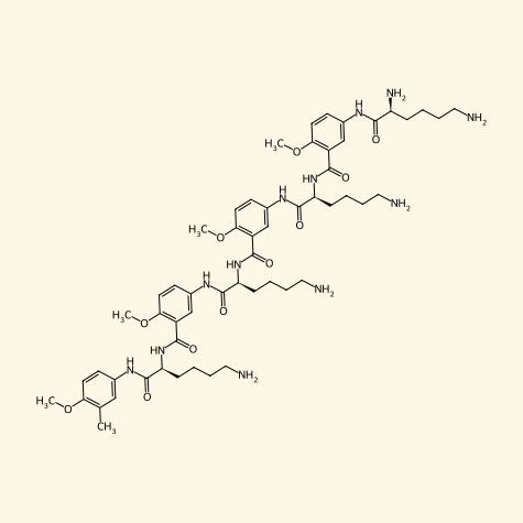 COc1ccc(NC(=O)[C@H](CCCCN)NC(=O)c2cc(NC(=O)[C@H](CCCCN)NC(=O)c3cc(NC(=O)[C@H](CCCCN)NC(=O)c4cc(NC(=O)[C@@H](N)CCCCN)ccc4OC)ccc3OC)ccc2OC)cc1C